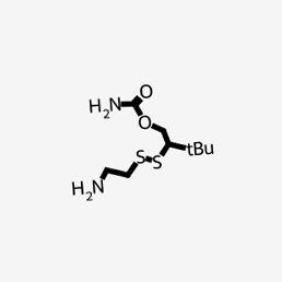 CC(C)(C)C(COC(N)=O)SSCCN